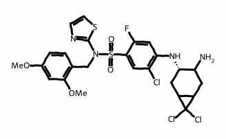 COc1ccc(CN(c2nccs2)S(=O)(=O)c2cc(Cl)c(N[C@H]3CC4C(CC3N)C4(Cl)Cl)cc2F)c(OC)c1